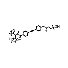 CNC(=O)C(C(=O)NO)N(C)C(=O)c1ccc(C#Cc2ccc(CNCCC(C)(C)O)cc2)cc1